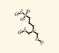 CCOCN(CCC[Si](CC)(CC)OCC)COCC